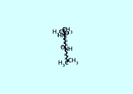 CC(C)CCCCCNC(=O)CCCCCNC(=O)C(C)C